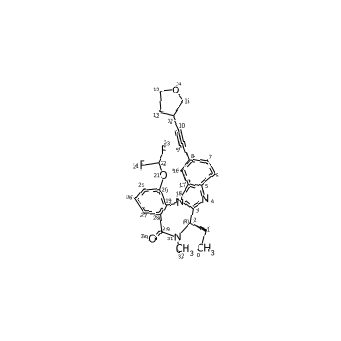 CC[C@@H]1c2nc3ccc(C#CC4CCOC4)cc3n2-c2c(OC(F)F)cccc2C(=O)N1C